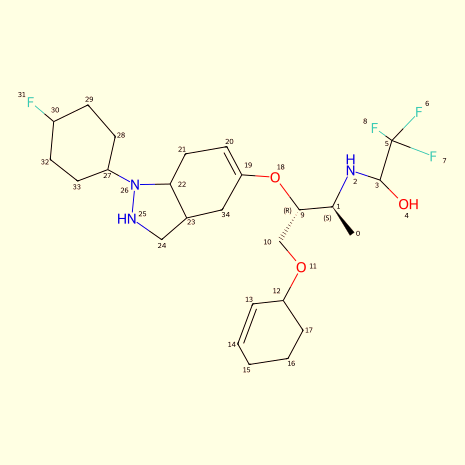 C[C@H](NC(O)C(F)(F)F)[C@H](COC1C=CCCC1)OC1=CCC2C(CNN2C2CCC(F)CC2)C1